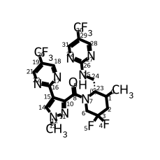 CC1CC(F)(F)CN(C(=O)c2nn(C)cc2-c2ncc(C(F)(F)F)cn2)[C@@H]1CNc1ncc(C(F)(F)F)cn1